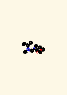 c1ccc(-c2cc(-c3ccccc3)cc(-c3nc(-c4ccccc4)nc(-c4cccc(-c5nc6ccccc6c6c(-c7cccc8c7oc7ccccc78)c7c(cc56)oc5ccccc57)c4)n3)c2)cc1